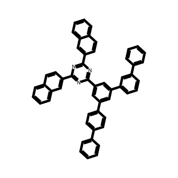 c1ccc(-c2ccc(-c3cc(-c4cccc(-c5ccccc5)c4)cc(-c4nc(-c5ccc6ccccc6c5)nc(-c5ccc6ccccc6c5)n4)c3)cc2)cc1